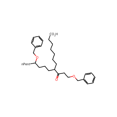 CCCCCC(CCCC(CCCCCCC(=O)O)C(=O)CCOCc1ccccc1)OCc1ccccc1